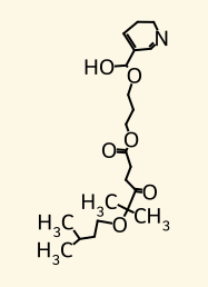 CC(C)CCOC(C)(C)C(=O)CCC(=O)OCCCOC(O)C1=CCCN=C1